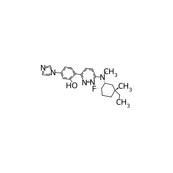 CC[C@]1(C)CC[C@H](F)[C@H](N(C)c2ccc(-c3ccc(-n4ccnc4)cc3O)nn2)C1